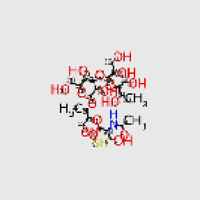 CC(=O)N[C@@H](CO)C(OS)OC(CO)[C@H](C)OC1OC(CO)C(O)C(OC(OC(CO)[C@@H](C)O)[C@@H](O)CO)C1O